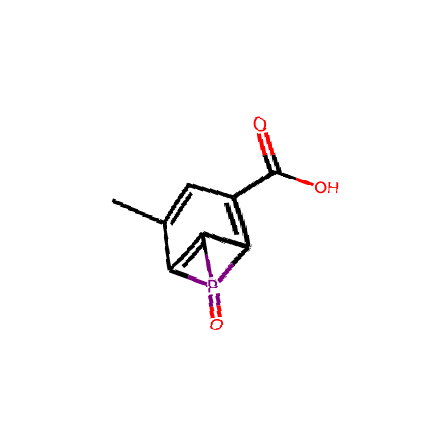 Cc1cc(C(=O)O)c2c3c1P23=O